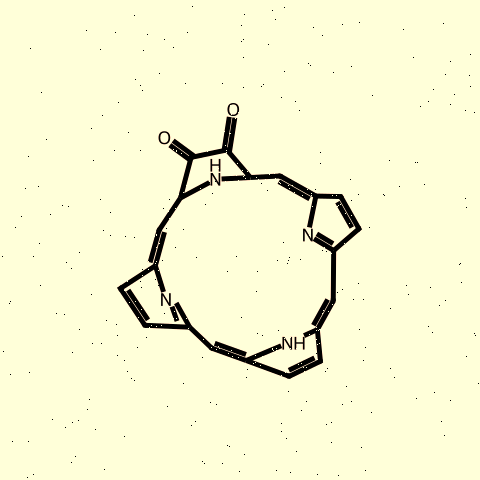 O=C1C(=O)C2C=C3C=CC(=N3)C=c3ccc([nH]3)=CC3=NC(=CC1N2)C=C3